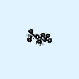 C=C1C=C(C2=CC=CCC2)C(C2=CC=CCC2)=C2c3ccccc3C(C3C=CC(C4=CC(c5ccccc5)NC(c5ccccc5)=N4)=CC3)=C(c3ccccc3)N12